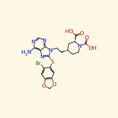 Nc1ncnc2c1nc(Sc1cc3c(cc1Br)OCO3)n2CC[C@@H]1CCN(C(=O)O)[C@H](C(=O)O)C1